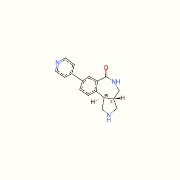 O=C1NC[C@@H]2CNC[C@H]2c2ccc(-c3ccncc3)cc21